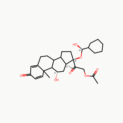 CC(=O)OCC(=O)[C@@]1(O[C@@H](O)C2CCCCC2)CCC2C3CCC4=CC(=O)C=CC4(C)C3[C@@H](O)C[C@@]21C